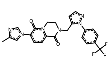 Cc1cn(-c2ccc3n(c2=O)CCN(Cc2ccnn2-c2ccc(C(F)(F)F)cc2)C3=O)cn1